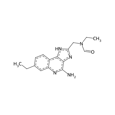 CCc1ccc2c(c1)nc(N)c1nc(CN(C=O)CC)[nH]c12